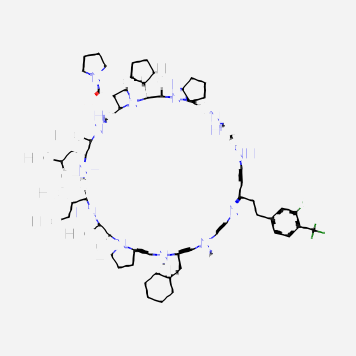 CC[C@H](C)[C@H]1CN[C@@H](CC(C)C)C(C)NCC2[C@H](C(=O)N3CCCC3)C(C)N2[C@@H](C2CCCC2)C(C)NC2(CCCC2)CNCCNC=CC(CCc2ccc(C(F)(F)F)c(Cl)c2)=NC=CN(C)C=C(CC2CCCCC2)N(C)C=C2CCCN2[C@@H](C)C(C)N1